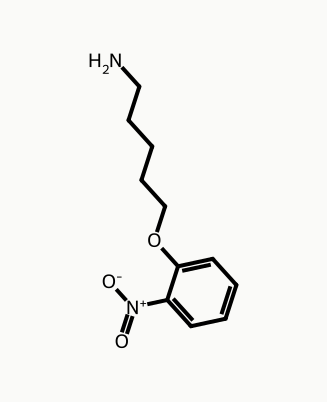 NCCCCCOc1ccccc1[N+](=O)[O-]